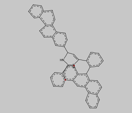 C1=C(c2ccccc2-c2c3ccccc3cc3c2ccc2ccccc23)NC(c2ccccc2)NC1c1ccc2c(ccc3c4ccccc4ccc23)c1